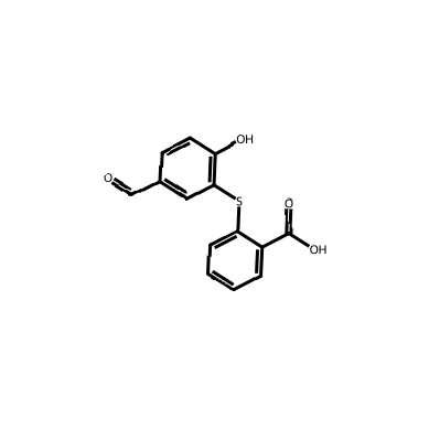 O=Cc1ccc(O)c(Sc2ccccc2C(=O)O)c1